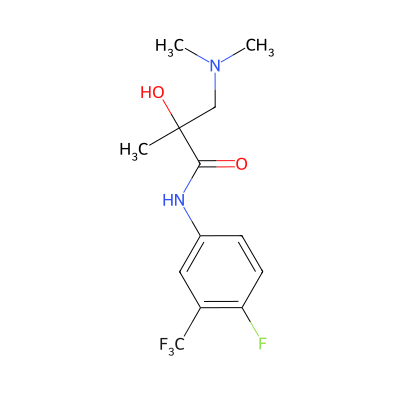 CN(C)CC(C)(O)C(=O)Nc1ccc(F)c(C(F)(F)F)c1